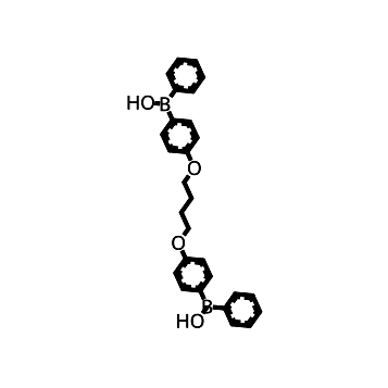 OB(c1ccccc1)c1ccc(OCCCCOc2ccc(B(O)c3ccccc3)cc2)cc1